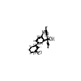 CC#CC(O)(C#CC)c1cc(-c2cccc(Cl)c2)ccc1N